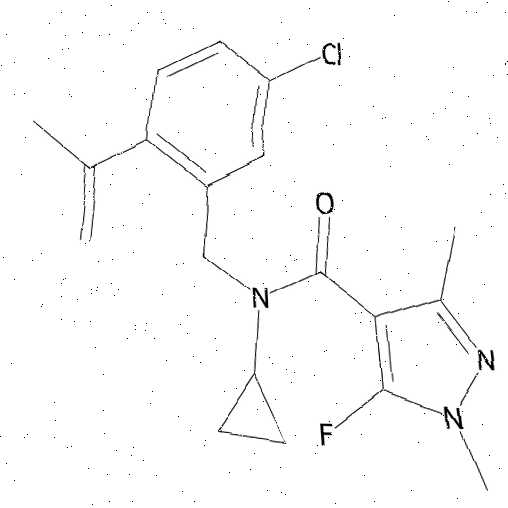 C=C(C)c1ccc(Cl)cc1CN(C(=O)c1c(C)nn(C)c1F)C1CC1